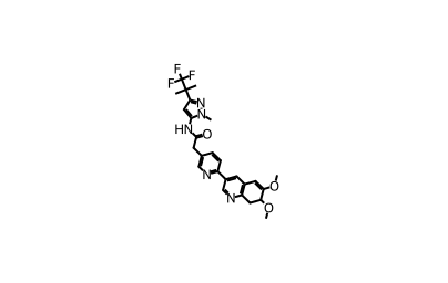 COC1=Cc2cc(-c3ccc(CC(=O)Nc4cc(C(C)(C)C(F)(F)F)nn4C)cn3)cnc2CC1OC